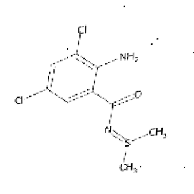 CS(C)=NC(=O)c1cc(Cl)cc(Cl)c1N